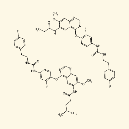 CCC(=O)Nc1cc2c(Oc3ccc(NC(=O)NCCc4ccc(F)cc4)cc3F)ncnc2cc1OC.COc1cc2ncnc(Oc3ccc(NC(=O)NCCc4ccc(F)cc4)cc3F)c2cc1NC(=O)CCC(C)C